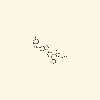 Cc1ccc(Nc2ccc3c(c2)ncn3-c2ccc(C3OCCO3)c(-c3cn(CC4CC4)nc3C)n2)nn1